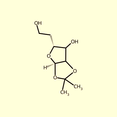 CC1(C)OC2C(O)[C@@H](CCO)O[C@@H]2O1